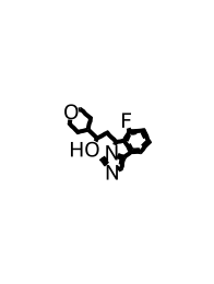 OC(CC1c2c(F)cccc2-c2cncn21)C1CCOCC1